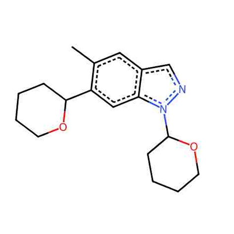 Cc1cc2cnn(C3CCCCO3)c2cc1C1CCCCO1